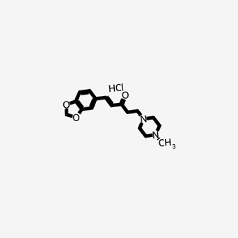 CN1CCN(CCC(=O)C=Cc2ccc3c(c2)OCO3)CC1.Cl